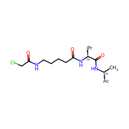 CC(=O)[C@H](C)NC(=O)[C@@H](NC(=O)CCCCNC(=O)CCl)C(C)C